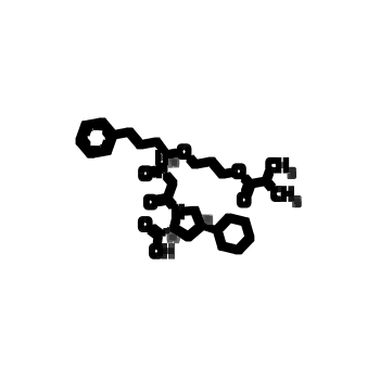 CC(C)C(=O)OCCCO[C@H](CCCc1ccccc1)[PH](=O)CC(=O)N1C[C@@H](C2CCCCC2)C[C@@H]1C(=O)O